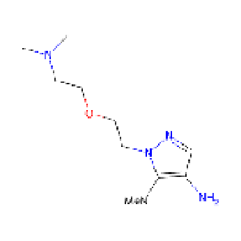 CNc1c(N)cnn1CCOCCN(C)C